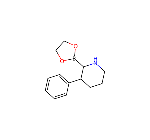 c1ccc(C2CCCNC2B2OCCO2)cc1